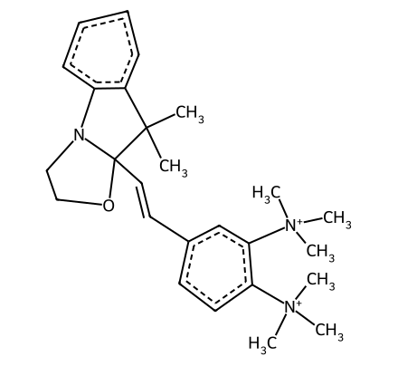 CC1(C)c2ccccc2N2CCOC21C=Cc1ccc([N+](C)(C)C)c([N+](C)(C)C)c1